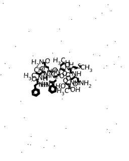 CSCC[C@H](NC(=O)[C@H](CC(C)C)NC(=O)[C@H](Cc1c[nH]c2ccccc12)NC(=O)[C@H](CCC(N)=O)NC(=O)[C@@H](NC(=O)[C@@H](N)Cc1ccccc1)C(C)C)C(=O)N[C@@H](CC(N)=O)C(=O)N[C@H](C(=O)O)[C@@H](C)O